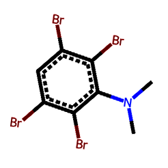 CN(C)c1c(Br)c(Br)cc(Br)c1Br